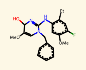 CCc1cc(F)c(OC)cc1NC1=NC(O)C(OC)=CN1Cc1ccccc1